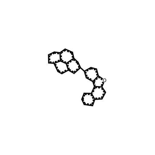 c1ccc2c(c1)ccc1oc3ccc(-c4cc5ccc6cccc7ccc(c4)c5c67)cc3c12